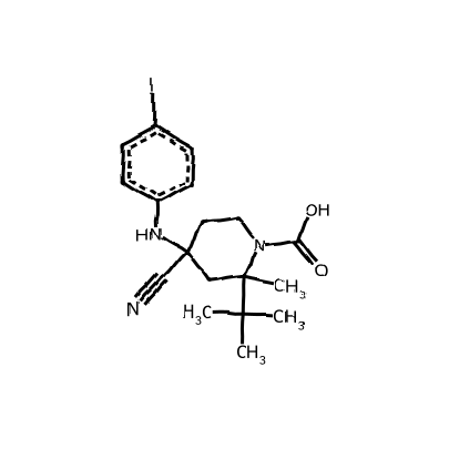 CC(C)(C)C1(C)CC(C#N)(Nc2ccc(I)cc2)CCN1C(=O)O